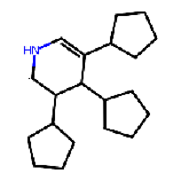 [CH]1NC=C(C2CCCC2)C(C2CCCC2)C1C1CCCC1